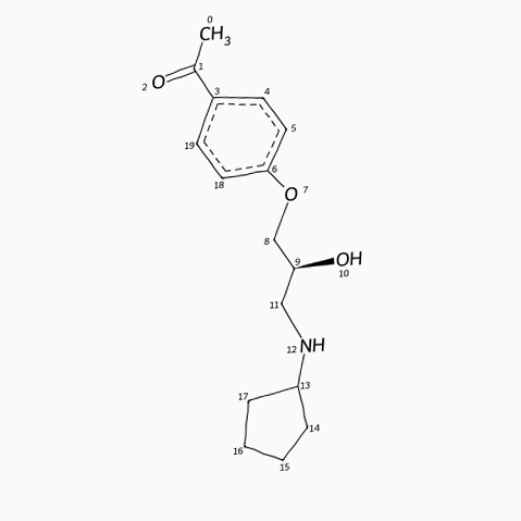 CC(=O)c1ccc(OC[C@@H](O)CNC2CCCC2)cc1